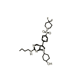 CCCCNc1ncc2c(-c3ccc(S(=O)(=O)N4CCC(F)(F)CC4)cc3)cn(C3CCC(O)CC3)c2n1